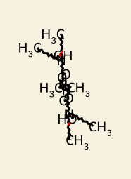 CCCCCCCCCCN(CCCCC(=O)OCCN1CC(C)N(CCOC(=O)CCCCN(CCCCCCCCCC)CC(O)CCCCCCCC)CC1C)CC(O)CCCCCCCC